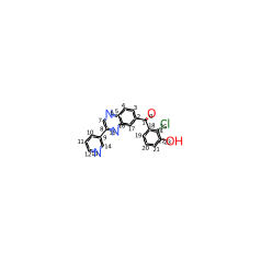 O=C(c1ccc2ncc(-c3cccnc3)nc2c1)c1cccc(O)c1Cl